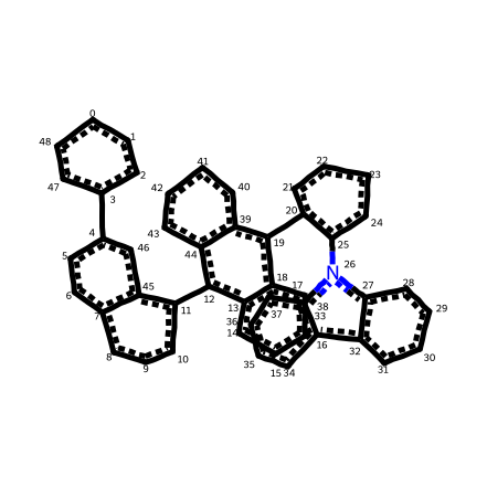 c1ccc(-c2ccc3cccc(-c4c5ccccc5c(-c5ccccc5-n5c6ccccc6c6ccccc65)c5ccccc45)c3c2)cc1